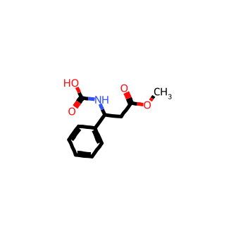 COC(=O)CC(NC(=O)O)c1ccccc1